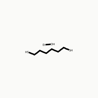 CCO.SCCCCCCS